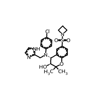 CC1(C)Oc2ccc(S(=O)(=O)N3CCC3)cc2[C@@H](N(Cc2ncc[nH]2)c2ccc(Cl)cc2)[C@@H]1O